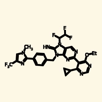 CCOc1ncnc(C2CC2)c1-c1ncc2c(n1)n(Cc1ccc(-c3nc(C(F)(F)F)cn3C)cc1)c(=N)n2C(F)C(F)F